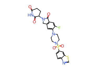 O=C1CCC(N2Cc3cc(N4CCN(S(=O)(=O)c5ccc6ncsc6c5)CC4)c(F)cc3C2=O)C(=O)N1